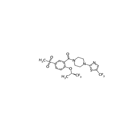 C[C@@H](Oc1ccc(S(C)(=O)=O)cc1C(=O)N1CCN(c2ncc(C(F)(F)F)s2)CC1)C(F)(F)F